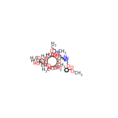 CCOC(=O)c1ccccc1OCCn1cc(CCCN(C)[C@H]2C[C@@H](C)O[C@@H](O[C@@H]3[C@@H](C)[C@H](O[C@H]4C[C@@](C)(OC)[C@@H](O)[C@H](C)O4)[C@@H](C)C(=O)O[C@H](CC)[C@@](C)(O)[C@H](O)[C@@H](C)C(=O)[C@H](C)C[C@@]3(C)O)[C@@H]2O)nn1